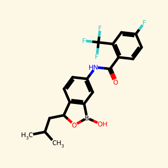 CC(C)CC1OB(O)c2cc(NC(=O)c3ccc(F)cc3C(F)(F)F)ccc21